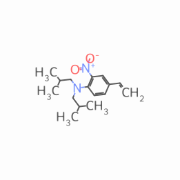 C=Cc1ccc(N(CC(C)C)CC(C)C)c([N+](=O)[O-])c1